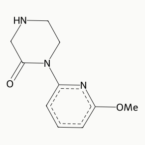 COc1cccc(N2CCNCC2=O)n1